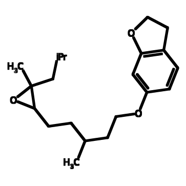 CC(C)CC1(C)OC1CCC(C)CCOc1ccc2c(c1)OCC2